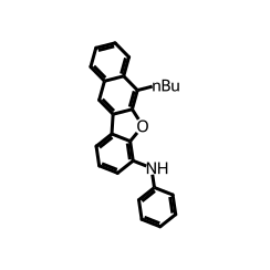 CCCCc1c2ccccc2cc2c1oc1c(Nc3ccccc3)cccc12